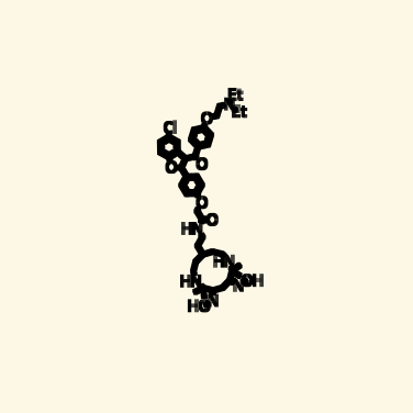 CCN(CC)CCOc1ccc(C(=O)C2c3cc(Cl)ccc3OC2c2ccc(OCC(=O)NCCC3CCNC(C)(C)/C(=N\O)C/C(=N/O)C(C)(C)NCC3)cc2)cc1